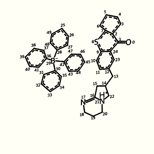 O=c1c2ccccc2sc2ccc(CC3CC4=NCCC[NH+]4C3)cc12.c1ccc([B-](c2ccccc2)(c2ccccc2)c2ccccc2)cc1